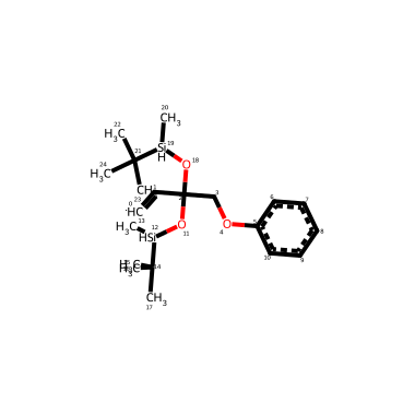 [CH]=CC(COc1ccccc1)(O[SiH](C)C(C)(C)C)O[SiH](C)C(C)(C)C